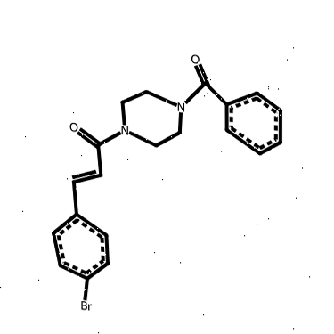 O=C(C=Cc1ccc(Br)cc1)N1CCN(C(=O)c2ccccc2)CC1